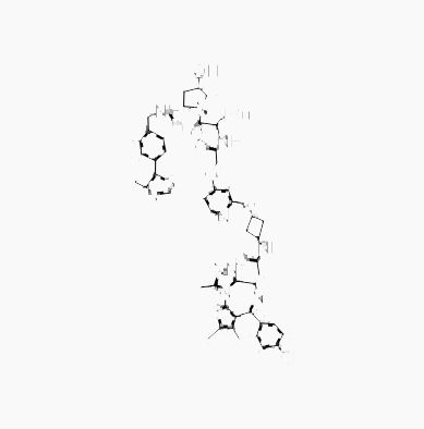 Cc1ncsc1-c1ccc([C@H](C)NC(=O)[C@@H]2C[C@@H](O)CN2C(=O)C(NC(=O)COc2ccnc(O[C@H]3C[C@H](NC(=O)C[C@@H]4N=C(c5ccc(Cl)cc5)c5c(sc(C)c5C)-n5c(C)nnc54)C3)c2)C(C)(C)C)cc1